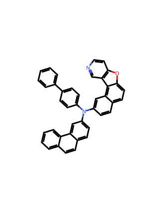 c1ccc(-c2ccc(N(c3ccc4ccc5ccccc5c4c3)c3ccc4ccc5oc6ccncc6c5c4c3)cc2)cc1